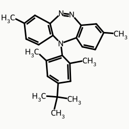 Cc1ccc2c(c1)N=Nc1cc(C)ccc1N2c1c(C)cc(C(C)(C)C)cc1C